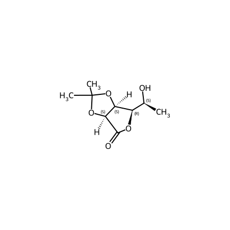 C[C@H](O)[C@H]1OC(=O)[C@H]2OC(C)(C)O[C@@H]12